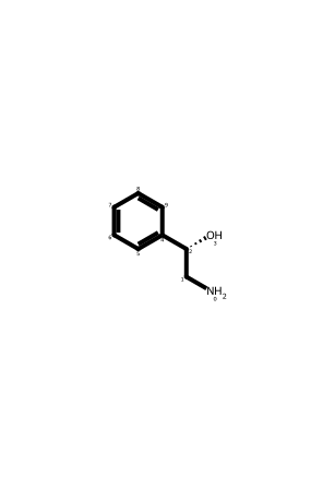 NC[C@@H](O)c1ccccc1